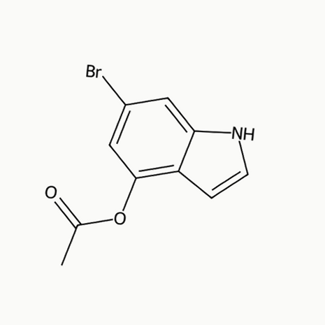 CC(=O)Oc1cc(Br)cc2[nH]ccc12